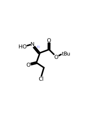 CC(C)(C)OC(=O)/C(=N/O)C(=O)CCl